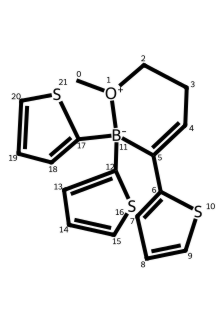 C[O+]1CCC=C(c2cccs2)[B-]1(c1cccs1)c1cccs1